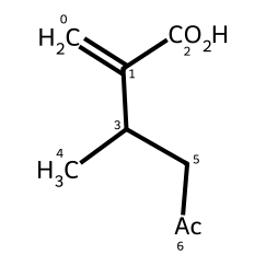 C=C(C(=O)O)C(C)CC(C)=O